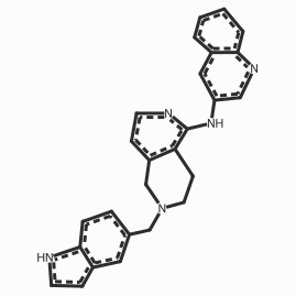 c1ccc2ncc(Nc3nccc4c3CCN(Cc3ccc5[nH]ccc5c3)C4)cc2c1